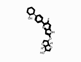 O[C@@H]1CO[C@H]2[C@@H]1OC[C@H]2Oc1cc2nc(-c3ccc([C@@H]4CCCC[C@H]4O)cc3)c(F)cc2[nH]1